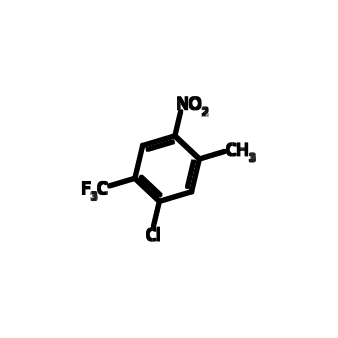 Cc1cc(Cl)c(C(F)(F)F)cc1[N+](=O)[O-]